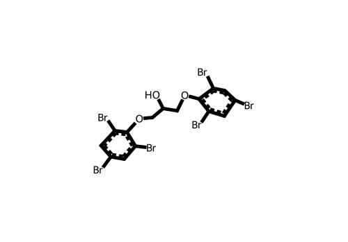 OC(COc1c(Br)cc(Br)cc1Br)COc1c(Br)cc(Br)cc1Br